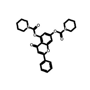 O=C(Oc1cc(OC(=O)N2CCCCC2)c2c(=O)cc(-c3ccccc3)oc2c1)N1CCCCC1